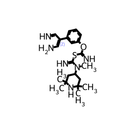 CN(C(=N)SC(=N)Oc1cccc(/C(C=N)=C/N)c1)C1CC(C)(C)NC(C)(C)C1